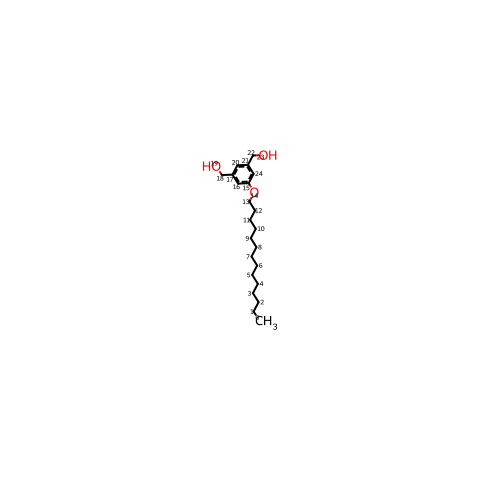 CCCCCCCCCCCCCCOc1cc(CO)cc(CO)c1